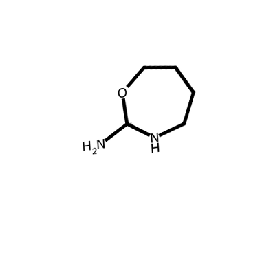 N[C]1NCCCCO1